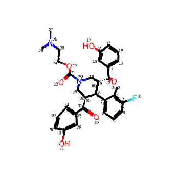 Cc1c(F)cccc1C1[C@@H](C(=O)c2cccc(O)c2)CN(C(=O)OCCN(C)C)C[C@@H]1C(=O)c1cccc(O)c1